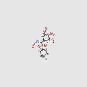 COc1cc(C(N=C=O)S(=O)(=O)c2ccc(C)cc2)cc(OC)c1OC